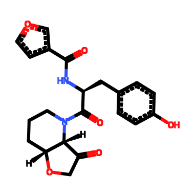 O=C(N[C@@H](Cc1ccc(O)cc1)C(=O)N1CCC[C@H]2OCC(=O)[C@H]21)c1ccoc1